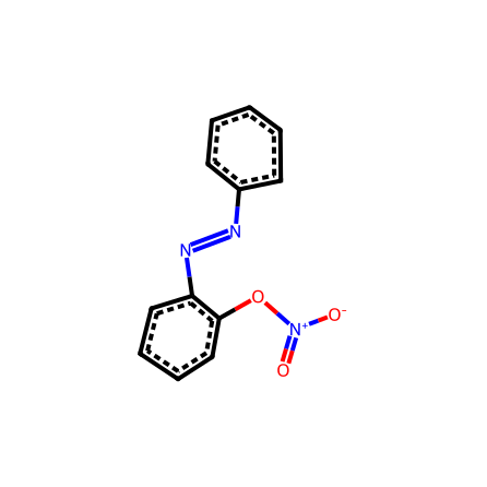 O=[N+]([O-])Oc1ccccc1N=Nc1ccccc1